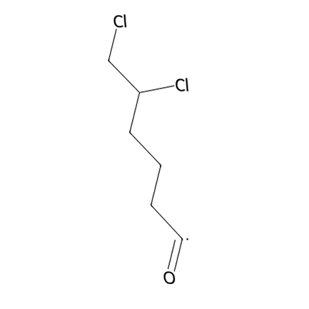 O=[C]CCCC(Cl)CCl